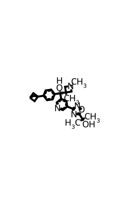 CN1CC(C)([C@](O)(c2ccc(C34CC(C3)C4)cc2)c2cncc(-c3noc(C(C)(C)O)n3)c2)C1